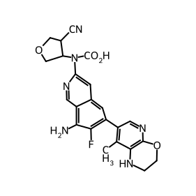 Cc1c(-c2cc3cc(N(C(=O)O)C4COCC4C#N)ncc3c(N)c2F)cnc2c1NCCO2